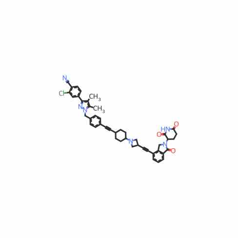 Cc1c(-c2ccc(C#N)c(Cl)c2)nn(Cc2ccc(C#CC3CCC(N4CC(C#Cc5cccc6c5CN(C5CCC(=O)NC5=O)C6=O)C4)CC3)cc2)c1C